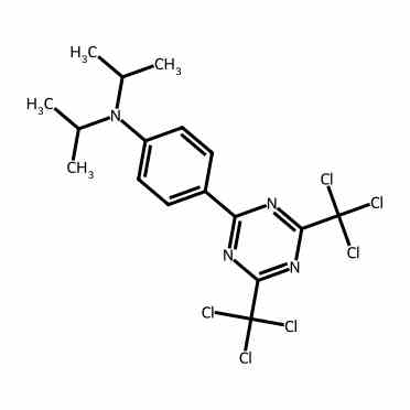 CC(C)N(c1ccc(-c2nc(C(Cl)(Cl)Cl)nc(C(Cl)(Cl)Cl)n2)cc1)C(C)C